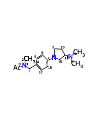 CC(=O)N(C)Cc1ccc(N2CCC(N(C)C)C2)cc1